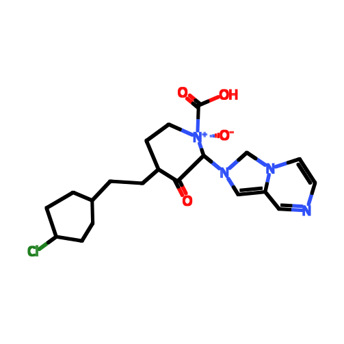 O=C1C(CCC2CCC(Cl)CC2)CC[N@@+]([O-])(C(=O)O)C1N1C=C2C=NC=CN2C1